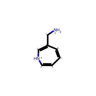 NCC1=CNC=CC=C1